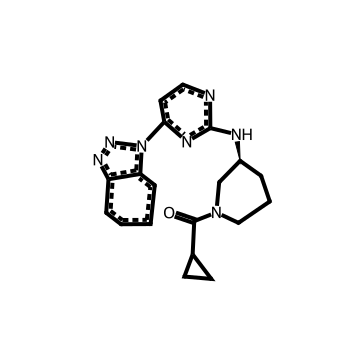 O=C(C1CC1)N1CCC[C@H](Nc2nccc(-n3nnc4ccccc43)n2)C1